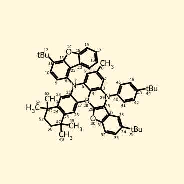 Cc1cc2c3c(c1)N(c1ccc(C(C)(C)C)c4oc5ccccc5c14)c1cc4c(cc1B3c1oc3ccc(C(C)(C)C)cc3c1N2c1ccc(C(C)(C)C)cc1)C(C)(C)CCC4(C)C